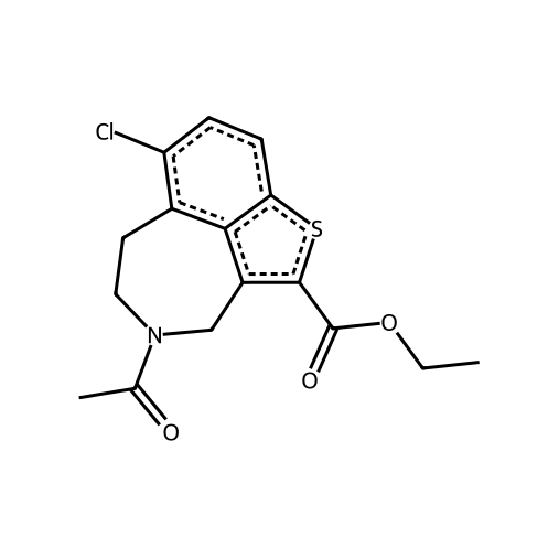 CCOC(=O)c1sc2ccc(Cl)c3c2c1CN(C(C)=O)CC3